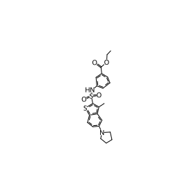 CCOC(=O)c1cccc(NS(=O)(=O)c2sc3ccc(N4CCCC4)cc3c2C)c1